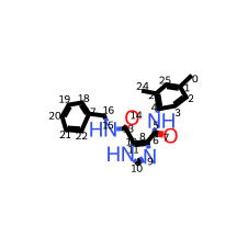 Cc1ccc(NC(=O)c2nc[nH]c2C(=O)NCc2ccccc2)c(C)c1